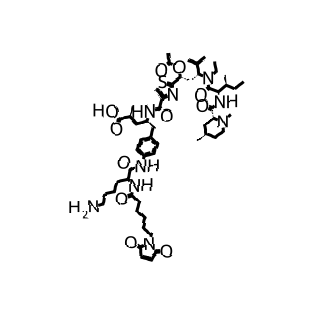 CC[C@H](C)[C@H](NC(=O)[C@H]1C[C@H](C)CCN1C)C(=O)N(CC)[C@H](C[C@@H](OC(C)=O)c1nc(C(=O)N[C@@H](Cc2ccc(NC(=O)C(CCCCN)NC(=O)CCCCCN3C(=O)C=CC3=O)cc2)C[C@H](C)C(=O)O)cs1)C(C)C